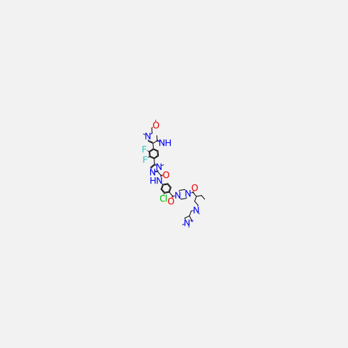 CCC(CCN(C)CC1C[N+](C)(C)C1)C(=O)N1CCN(C(=O)c2ccc(NC(=O)c3ncc(-c4ccc(/C(=C/N(C)CCOC)C(C)=N)c(F)c4F)n3C)cc2Cl)CC1